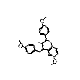 COc1ccc(CC2c3cc(OC)ccc3CC(c3ccc(OC)cc3)C2C)cc1